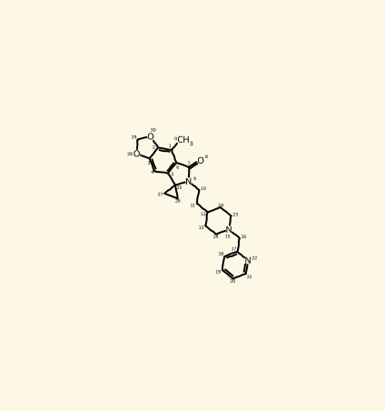 Cc1c2c(cc3c1C(=O)N(CCC1CCN(Cc4ccccn4)CC1)C31CC1)OCO2